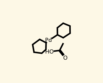 C1CC[CH]([Pd][CH]2CCCCC2)CC1.CC(=O)O